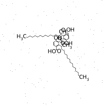 CCCCCCCCCCCCCCC(C)c1c(C(=O)O)ccc(O)c1S(=O)(=O)c1c(O)ccc(C(=O)O)c1C(C)CCCCCCCCCCCCCC